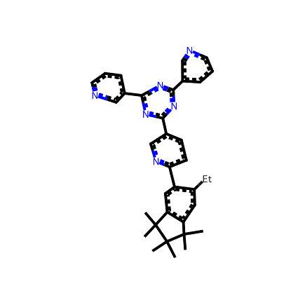 CCc1cc2c(cc1-c1ccc(-c3nc(-c4cccnc4)nc(-c4cccnc4)n3)cn1)C(C)(C)C(C)(C)C2(C)C